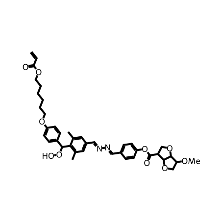 C=CC(=O)OCCCCCCOc1ccc(C(OO)c2c(C)cc(/C=N/N=C/c3ccc(OC(=O)C4COC5C(OC)COC45)cc3)cc2C)cc1